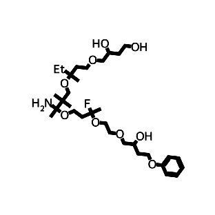 CCC(C)(CCOCC(O)CCO)OCC(C)(C)C(C)(N)OCCC(C)(F)OCCOCC(O)CCOc1ccccc1